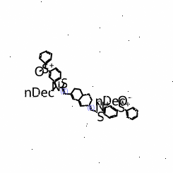 CCCCCCCCCCN1/C(=C/C2=CC3=C/C(=C/c4sc5ccc([S+]([O-])c6ccccc6)cc5[n+]4CCCCCCCCCC)CCC3CC2)Sc2ccc([S+]([O-])c3ccccc3)cc21